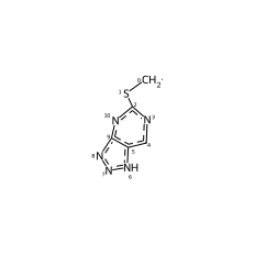 [CH2]Sc1ncc2[nH]nnc2n1